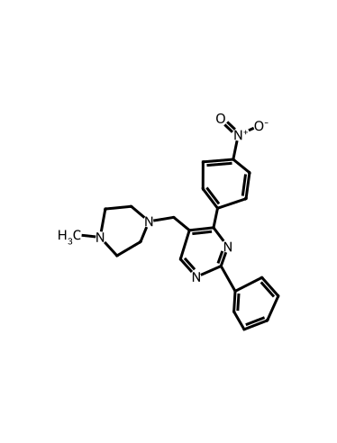 CN1CCN(Cc2cnc(-c3ccccc3)nc2-c2ccc([N+](=O)[O-])cc2)CC1